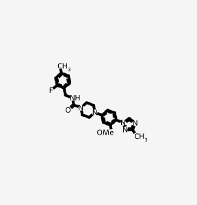 COc1cc(N2CCN(C(=O)NCc3ccc(C)cc3F)CC2)ccc1-n1cnc(C)n1